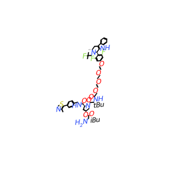 CC[C@H](C)[C@H](N)C(=O)O[C@@H]1C[C@@H](C(=O)NCc2ccc(-c3scnc3C)cc2)N(C(=O)[C@@H](NC(=O)COCCOCCOCCOc2cc(F)c([C@@H]3c4[nH]c5ccccc5c4C[C@@H](C)N3CC(C)(C)F)c(F)c2)C(C)(C)C)C1